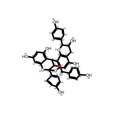 O=C(OC1C2c3c(O)cc(O)cc3OC1(c1ccc(O)cc1)Oc1cc(O)c3c(c12)OC(c1ccc(O)cc1)C(O)C3)c1ccc(O)cc1